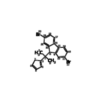 CC(C)(C1=CC=CC1)C1c2cc(Br)ccc2-c2ccc(Br)cc21